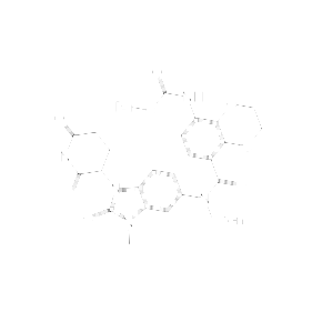 CCCCCN(C(=O)c1ccc(NC(=O)OC(C)(C)C)c2c1OCCO2)c1ccc2c(c1)n(C)c(=O)n2C1CCC(=O)NC1=O